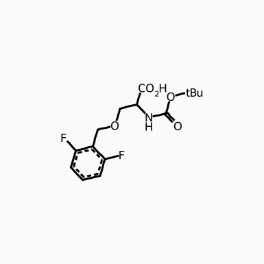 CC(C)(C)OC(=O)NC(COCc1c(F)cccc1F)C(=O)O